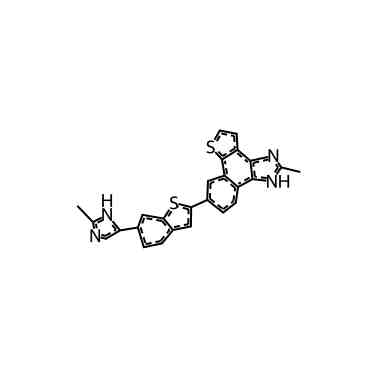 Cc1ncc(-c2ccc3cc(-c4ccc5c(c4)c4sccc4c4nc(C)[nH]c54)sc3c2)[nH]1